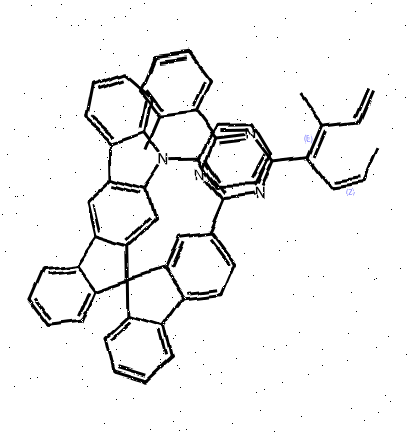 C=C/C(C)=C(\C=C/C)c1nc(-c2ccc3c(c2)C2(c4ccccc4-3)c3ccccc3-c3cc4c5ccccc5n(-c5ccccc5)c4cc32)nc(-c2ccccc2C)n1